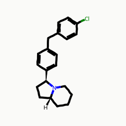 Clc1ccc(Cc2ccc([C@@H]3CC[C@H]4CCCCN43)cc2)cc1